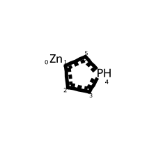 [Zn].c1cc[pH]c1